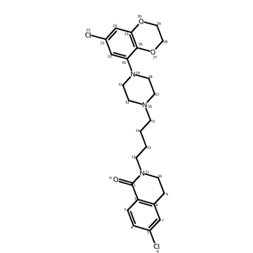 O=C1c2ccc(Cl)cc2CCN1CCCCN1CCN(c2cc(Cl)cc3c2OCCO3)CC1